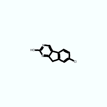 Oc1ncc2c(n1)Cc1cc(Cl)ccc1-2